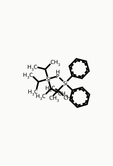 CC(C)[Si](P[Si](c1ccccc1)(c1ccccc1)C(C)(C)C)(C(C)C)C(C)C